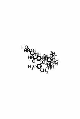 [2H]C([2H])([2H])Oc1cc(C(=O)Nc2cc3c(cc2Oc2cc(C)cc(C)c2)C(=O)NC(CC(=O)NCO)C(=O)N3)c(Br)c(OC([2H])([2H])[2H])c1OC([2H])([2H])[2H]